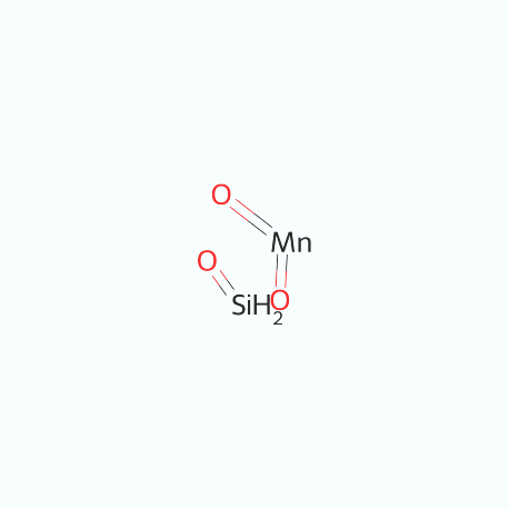 O=[SiH2].[O]=[Mn]=[O]